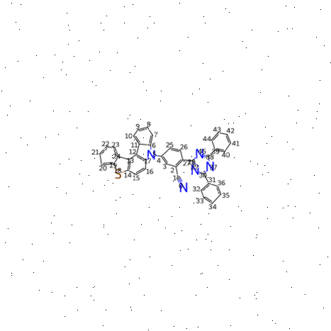 N#Cc1cc(-n2c3ccccc3c3c4c(ccc32)sc2ccccc24)ccc1-c1nc(-c2ccccc2)nc(-c2ccccc2)n1